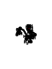 NC(=O)CC[C@H](NC(=O)[C@@H]1Cc2cccc3c2N1C(=O)[C@@H](NC(=O)c1cc2cc(C(F)(F)P(=O)(O)O)ccc2cn1)CC3)C(=O)N[C@H](C(=O)NCCCCCCCC#Cc1cccc2c1CN(C1CCC(=O)NC1=O)C2=O)c1ccccc1